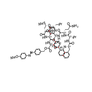 COc1ccc(N=Nc2ccc(COC(=O)[C@@H](NC(=O)[C@H](CC(N)=O)NC(=O)[C@H](CCSC)NC(=O)[C@H](CC(C)C)NC(=O)[C@H](Cc3ccccc3)NC(=O)[C@H](CCC(N)=O)NC(=O)[C@@H](NC(=O)[C@@H](N)Cc3ccccc3)C(C)C)[C@@H](C)OCc3ccccc3)cc2)cc1